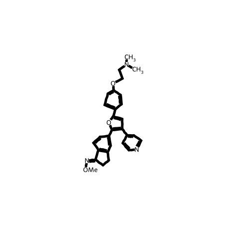 CON=C1CCc2cc(-c3oc(-c4ccc(OCCN(C)C)cc4)cc3-c3ccncc3)ccc21